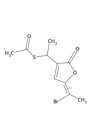 CC(=O)SC(C)C1=C/C(=C(/C)Br)OC1=O